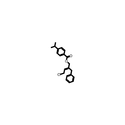 CC(C)c1ccc(C(=O)OCC(=CCCl)Cc2ccccc2)cc1